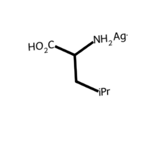 CC(C)CC(N)C(=O)O.[Ag]